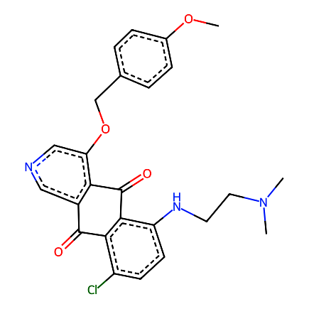 COc1ccc(COc2cncc3c2C(=O)c2c(NCCN(C)C)ccc(Cl)c2C3=O)cc1